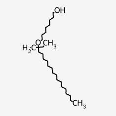 [CH2]C(CC)(CCCCCCCCCCCCCCCC)OCCCCCCCCO